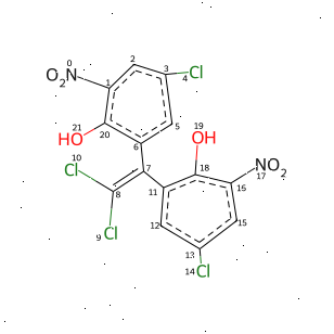 O=[N+]([O-])c1cc(Cl)cc(C(=C(Cl)Cl)c2cc(Cl)cc([N+](=O)[O-])c2O)c1O